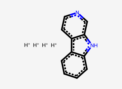 [H+].[H+].[H+].[H+].c1ccc2c(c1)[nH]c1cnccc12